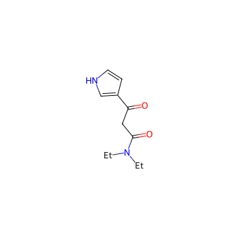 CCN(CC)C(=O)CC(=O)c1cc[nH]c1